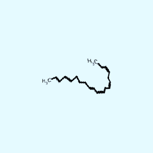 CC/C=C\C/C=C\C/C=C\C=C\CCCCCCCC